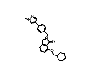 Cn1cc(-c2ccc(CN3Cc4cccc(OCC5CCCCC5)c4C3=O)cc2)cn1